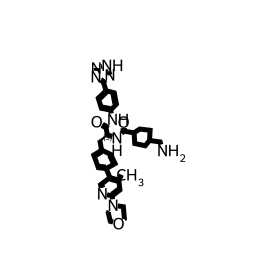 Cc1cc(N2CCOCC2)ncc1-c1ccc(C[C@H](NC(=O)C2CCC(CN)CC2)C(=O)Nc2ccc(-c3nn[nH]n3)cc2)cc1